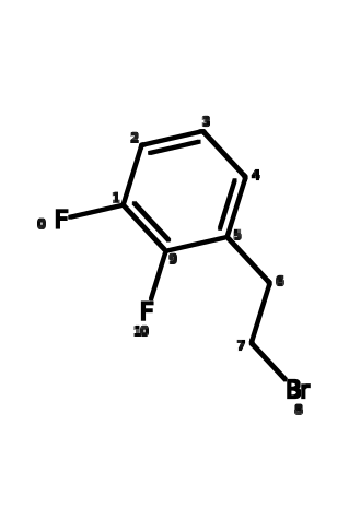 Fc1cccc(CCBr)c1F